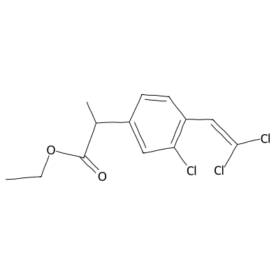 CCOC(=O)C(C)c1ccc(C=C(Cl)Cl)c(Cl)c1